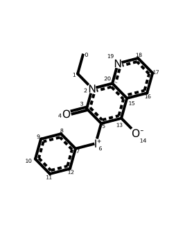 CCn1c(=O)c([I+]c2ccccc2)c([O-])c2cccnc21